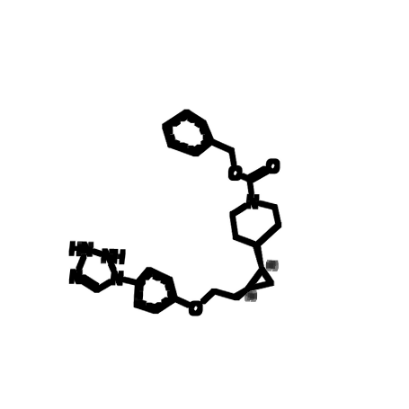 O=C(OCc1ccccc1)N1CCC([C@H]2C[C@H]2CCOc2ccc(N3C=NNN3)cc2)CC1